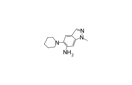 Cn1ncc2cc(N3CCCCC3)c(N)cc21